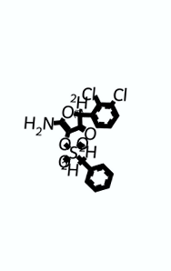 [2H]C([2H])(c1ccccc1)S(=O)(=O)OC1=C(N)O[C@]([2H])(c2cccc(Cl)c2Cl)C1=O